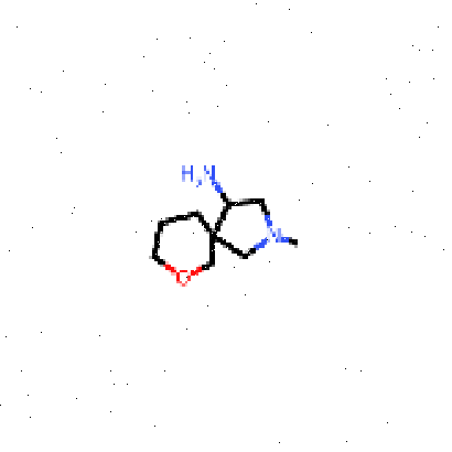 CN1CC(N)C2(CCCOC2)C1